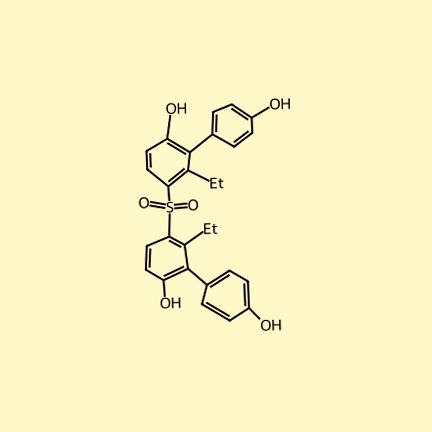 CCc1c(S(=O)(=O)c2ccc(O)c(-c3ccc(O)cc3)c2CC)ccc(O)c1-c1ccc(O)cc1